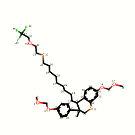 COCOc1ccc(C2(C)CSc3cc(OCOC)ccc3C2CCCCCCCCCSCCOCC(F)(F)F)cc1